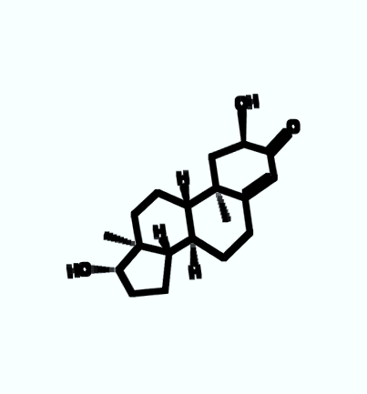 C[C@]12CC[C@H]3[C@@H](CCC4=CC(=O)[C@H](O)C[C@@]43C)[C@@H]1CC[C@@H]2O